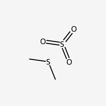 CSC.O=S(=O)=O